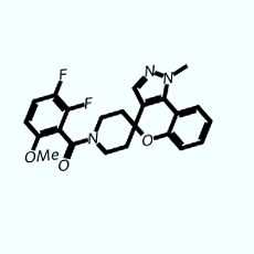 COc1ccc(F)c(F)c1C(=O)N1CCC2(CC1)Oc1ccccc1-c1c2cnn1C